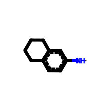 [NH]c1ccc2c(c1)CCCC2